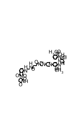 COc1cc(N2CCC(N3CCN(C(=O)CCC(=O)NCCNc4cccc5c4C(=O)N(C4CCC(=O)NC4=O)C5=O)CC3)CC2)ccc1Nc1ncc(Cl)c(Nc2ccccc2P(C)(C)=O)n1